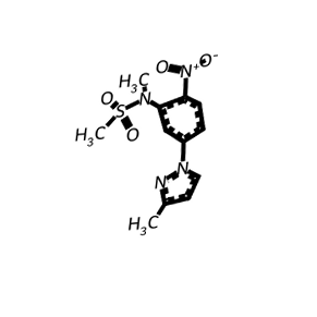 Cc1ccn(-c2ccc([N+](=O)[O-])c(N(C)S(C)(=O)=O)c2)n1